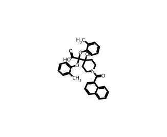 Cc1ccccc1OC(Oc1ccccc1C)(C(=O)O)C1(O)CCN(C(=O)c2cccc3ccccc23)CC1